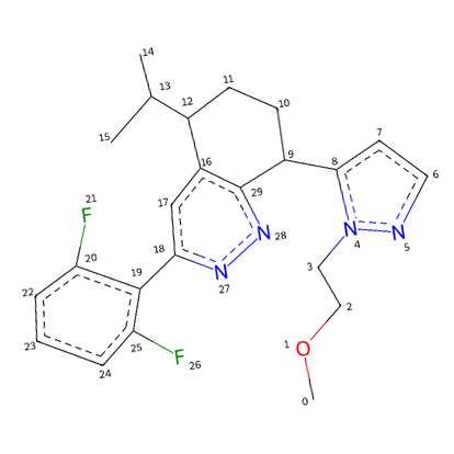 COCCn1nccc1C1CCC(C(C)C)c2cc(-c3c(F)cccc3F)nnc21